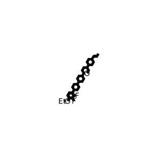 C/C=C/C1CCC(C2CCC(C3CCC(C4CCC(c5ccc(OCC)c(F)c5F)CC4)CC3)OC2)CC1